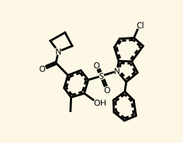 Cc1cc(C(=O)N2CCC2)cc(S(=O)(=O)n2c(-c3ccccc3)cc3cc(Cl)ccc32)c1O